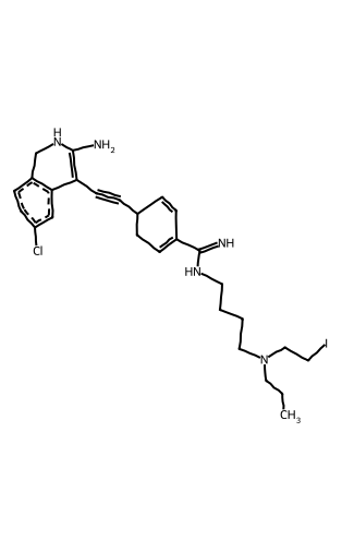 CCCN(CCI)CCCCNC(=N)C1=CCC(C#CC2=C(N)NCc3ccc(Cl)cc32)C=C1